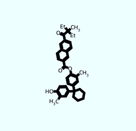 CCC(C)(CC)C(=O)c1ccc2cc(C(=O)Oc3ccc(C4(c5ccc(O)c(C)c5)CCCCC4)cc3C)ccc2c1